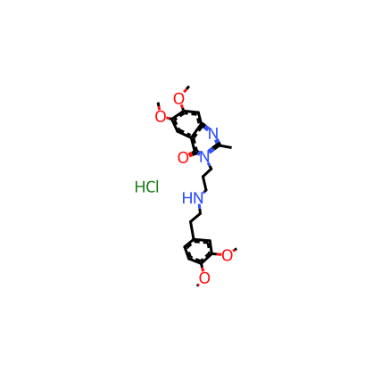 COc1ccc(CCNCCCn2c(C)nc3cc(OC)c(OC)cc3c2=O)cc1OC.Cl